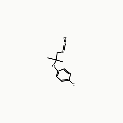 CC(C)(CN=[N+]=[N-])Oc1ccc(Cl)cc1